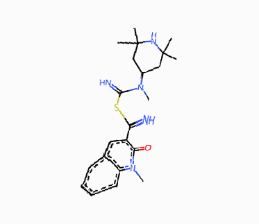 CN(C(=N)SC(=N)c1cc2ccccc2n(C)c1=O)C1CC(C)(C)NC(C)(C)C1